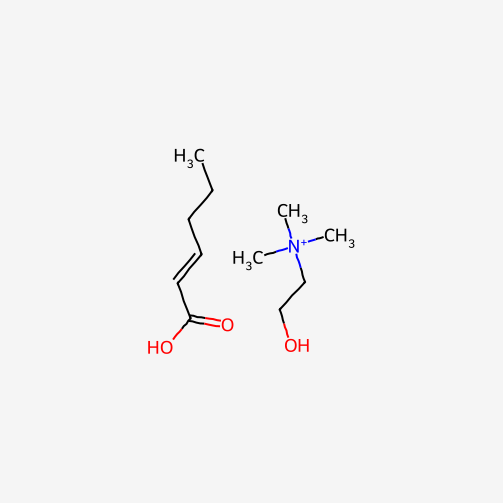 CCCC=CC(=O)O.C[N+](C)(C)CCO